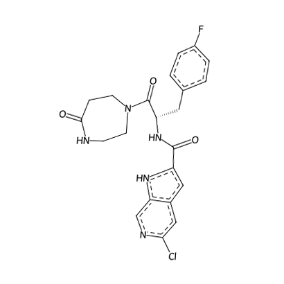 O=C1CCN(C(=O)[C@H](Cc2ccc(F)cc2)NC(=O)c2cc3cc(Cl)ncc3[nH]2)CCN1